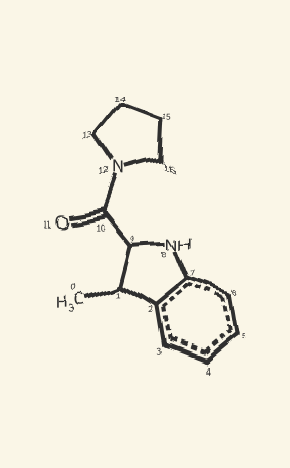 CC1c2ccccc2NC1C(=O)N1CCCC1